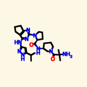 CC(C)c1cc(Nc2nc(N3CCC[C@H]3C(=O)N[C@H]3CCCN(C(=O)C(C)(C)N)C3)nc3c2CCC3)n[nH]1